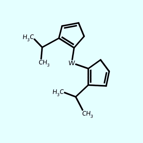 CC(C)C1=[C]([W][C]2=C(C(C)C)C=CC2)CC=C1